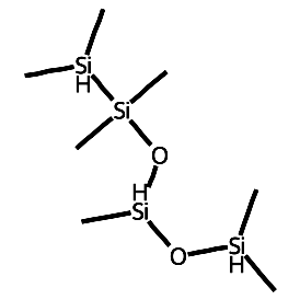 C[SiH](C)O[SiH](C)O[Si](C)(C)[SiH](C)C